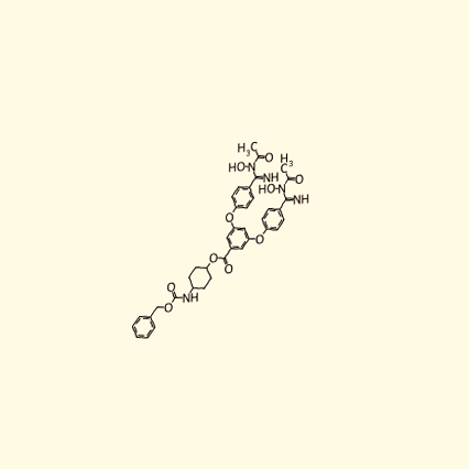 CC(=O)N(O)C(=N)c1ccc(Oc2cc(Oc3ccc(C(=N)N(O)C(C)=O)cc3)cc(C(=O)OC3CCC(NC(=O)OCc4ccccc4)CC3)c2)cc1